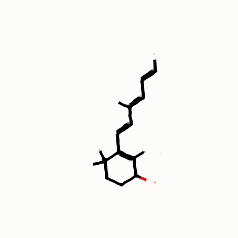 CC(=O)/C=C/C=C(C)/C=C/C1=C(C)C(O)CCC1(C)C